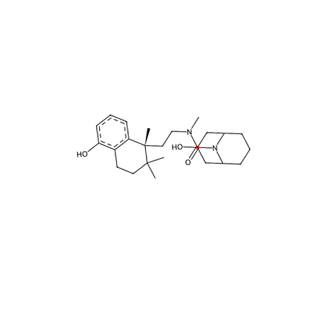 CN(CC[C@@]1(C)c2cccc(O)c2CCC1(C)C)C(=O)N1C2CCCC1CC(O)C2